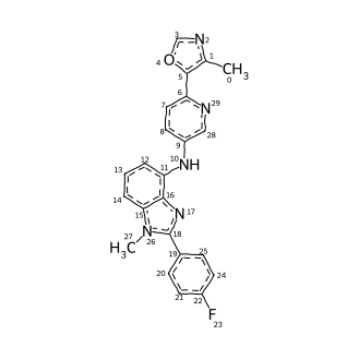 Cc1ncoc1-c1ccc(Nc2cccc3c2nc(-c2ccc(F)cc2)n3C)cn1